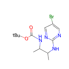 CC(NC(=O)OC(C)(C)C)C(C)Nc1ncc(Br)cn1